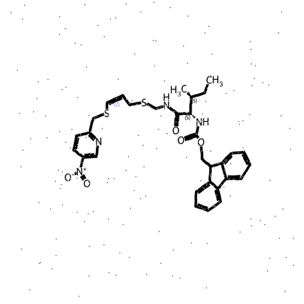 CC[C@H](C)[C@H](NC(=O)OCC1c2ccccc2-c2ccccc21)C(=O)NCSC/C=C\SCc1ccc([N+](=O)[O-])cn1